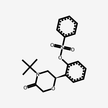 CC(C)(C)N1C[C@@H](c2ccccc2OS(=O)(=O)c2ccccc2)OCC1=O